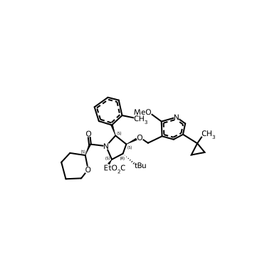 CCOC(=O)[C@@H]1[C@@H](C(C)(C)C)[C@H](OCc2cc(C3(C)CC3)cnc2OC)[C@H](c2ccccc2C)N1C(=O)[C@@H]1CCCCO1